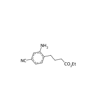 CCOC(=O)CCCc1ccc(C#N)cc1N